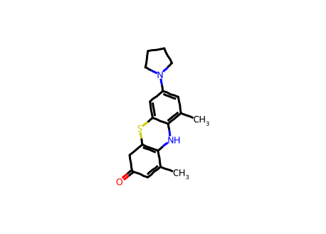 CC1=CC(=O)CC2=C1Nc1c(C)cc(N3CCCC3)cc1S2